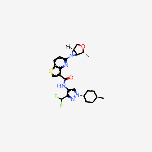 C[C@H]1OC[C@H]2C1N2c1ccc2scc(C(=O)Nc3cn([C@H]4CC[C@H](C)CC4)nc3C(F)F)c2n1